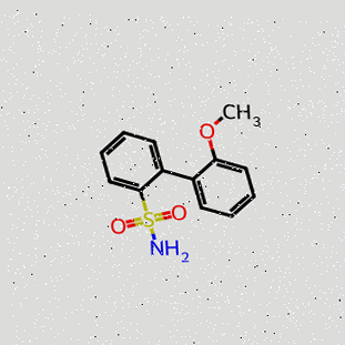 COc1ccccc1-c1ccccc1S(N)(=O)=O